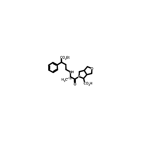 CCOC(=O)C(CCN[C@@H](C)C(=O)N1CC2COCC2C1C(=O)O)c1ccccc1